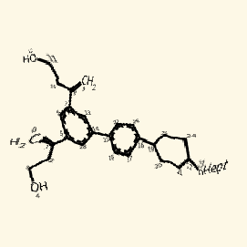 C=C(CCO)c1cc(C(=C)CCO)cc(-c2ccc(C3CCC(CCCCCCC)CC3)cc2)c1